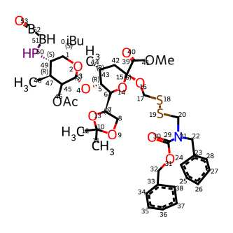 CC[C@H](C)C1O[C@H](O[C@H]2C([C@H]3COC(C)(C)O3)O[C@@](OCSSCN(Cc3ccccc3)C(=O)OCc3ccccc3)(C(=O)OC)C[C@H]2C)C(OC(C)=O)[C@@H](C)[C@@H]1PBB=O